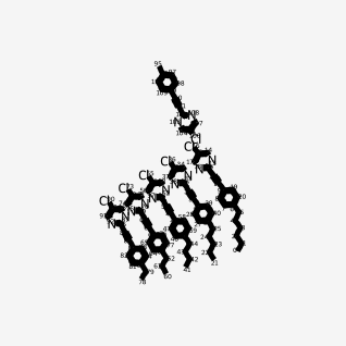 CCCCCCc1ccc(C#Cc2ncc(Cl)cn2)cc1.CCCCCc1ccc(C#Cc2ncc(Cl)cn2)cc1.CCCCc1ccc(C#Cc2ncc(Cl)cn2)cc1.CCCc1ccc(C#Cc2ncc(Cl)cn2)cc1.CCc1ccc(C#Cc2ncc(Cl)cn2)cc1.Cc1ccc(C#Cc2ncc(Cl)cn2)cc1